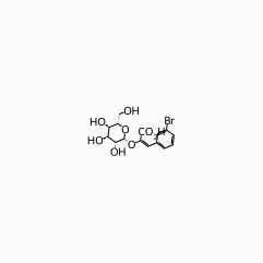 O=C(O)/C(=C\c1cccc(Br)c1)O[C@H]1O[C@@H](CO)[C@H](O)[C@H](O)[C@H]1O